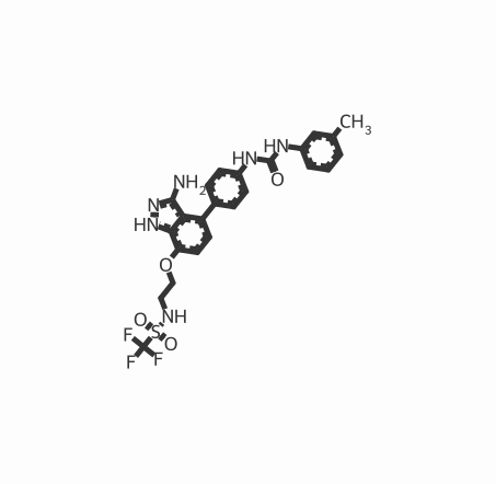 Cc1cccc(NC(=O)Nc2ccc(-c3ccc(OCCNS(=O)(=O)C(F)(F)F)c4[nH]nc(N)c34)cc2)c1